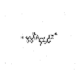 CCN(N=C(C#N)C(=O)OC(N)=O)c1cc(Cl)c(Oc2ccc3nc(C4CC4)ccc3c2)c(Cl)c1